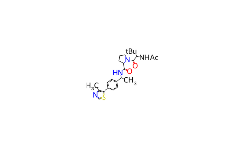 CC(=O)NC(C(=O)N1CCCC1C(=O)NC(C)c1ccc(-c2scnc2C)cc1)C(C)(C)C